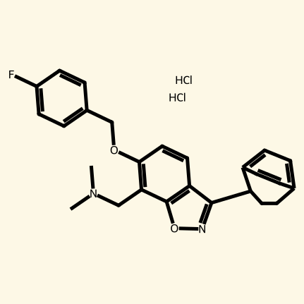 CN(C)Cc1c(OCc2ccc(F)cc2)ccc2c(C3CCc4ccc3cc4)noc12.Cl.Cl